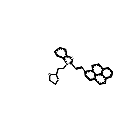 C(=C\c1sc2ccccc2[n+]1CCC1OCCO1)/c1ccc2ccc3cccc4ccc1c2c34